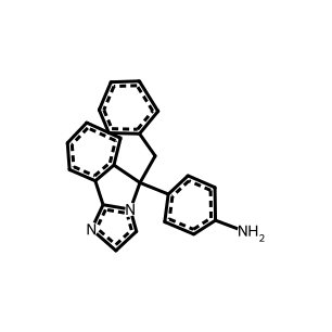 Nc1ccc(C2(Cc3ccccc3)c3ccccc3-c3nccn32)cc1